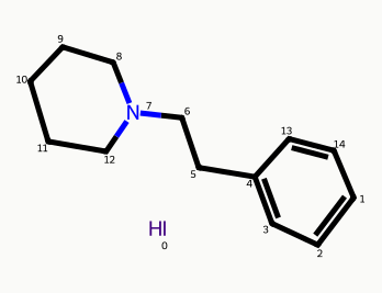 I.c1ccc(CCN2CCCCC2)cc1